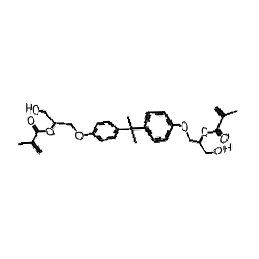 C=C(C)C(=O)OC(CO)COc1ccc(C(C)(C)c2ccc(OCC(CO)OC(=O)C(=C)C)cc2)cc1